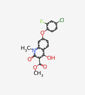 COC(=O)c1c(O)c2ccc(Oc3ccc(Cl)cc3F)cc2n(C)c1=O